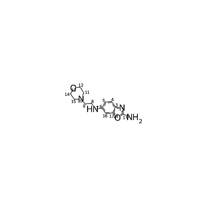 Nc1nc2ccc(NCCN3CCOCC3)cc2o1